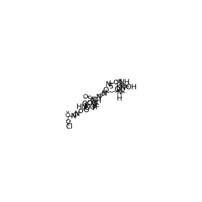 Cc1ncsc1-c1ccc([C@H](C)NC(=O)[C@@H]2C[C@@H](O)CN2C(=O)[C@@H](NC(=O)CCCCCC(=O)N2CC3CN(CC[C@H](CSC4=CCCC=C4)Nc4ccc(S(=O)(=O)NC(=O)c5ccc(N6CCN(CC7=C(c8ccc(Cl)cc8)CCC(C)(C)C7)CC6)cc5)cc4S(=O)(=O)C(F)(F)F)CC3C2)C(C)(C)C)cc1